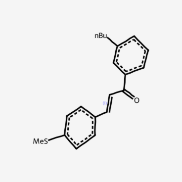 CCCCc1cccc(C(=O)/C=C/c2ccc(SC)cc2)c1